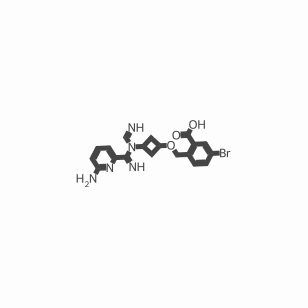 N=CN(C(=N)c1cccc(N)n1)C1CC(OCc2ccc(Br)cc2C(=O)O)C1